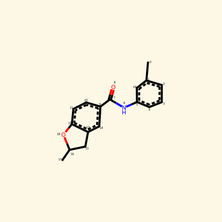 Cc1cccc(NC(=O)c2ccc3c(c2)CC(C)O3)c1